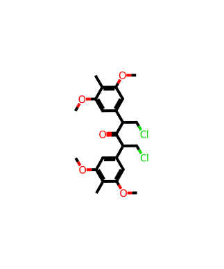 COc1cc(C(CCl)C(=O)C(CCl)c2cc(OC)c(C)c(OC)c2)cc(OC)c1C